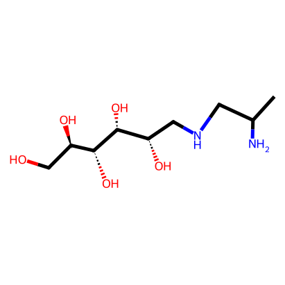 CC(N)CNC[C@H](O)[C@@H](O)[C@H](O)[C@H](O)CO